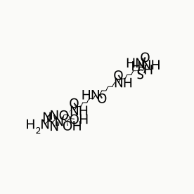 Nc1ncnc2c1ncn2[C@@H]1O[C@H](CNC(=O)CCCCCNC(=O)CCCCCNC(=O)CCCC[C@@H]2SC[C@@H]3NC(=O)N[C@@H]32)[C@@H](O)[C@H]1O